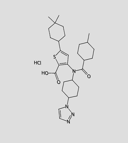 CC1CCC(C(=O)N(c2cc(C3CCC(C)(C)CC3)sc2C(=O)O)C2CCC(n3ccnn3)CC2)CC1.Cl